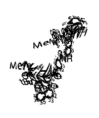 CN[C@@H](C)C(=O)NC(C(=O)N1Cc2cc(NC(=O)c3ccc(C(=O)N[C@H]4CC(C(=O)NC5CCCc6ccccc65)N(C(=O)C(NC(=O)[C@H](C)NC)C(C)(C)C)C4)cc3)ccc2CC1C(=O)NC(C)c1ccccc1F)C(C)(C)C